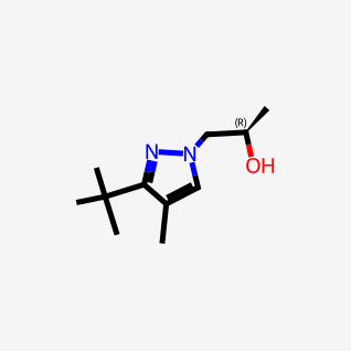 Cc1cn(C[C@@H](C)O)nc1C(C)(C)C